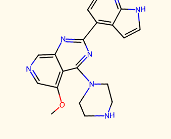 COc1cncc2nc(-c3ccnc4[nH]ccc34)nc(N3CCNCC3)c12